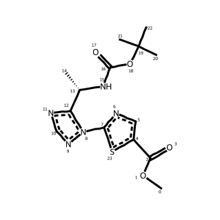 COC(=O)c1cnc(-n2ncnc2[C@H](C)NC(=O)OC(C)(C)C)s1